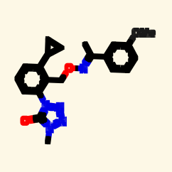 COc1cccc(C(C)=NOCc2c(C3CC3)cccc2-n2nnn(C)c2=O)c1